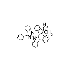 CC1(C)c2ccccc2-c2c1c1ncccc1c1c3ccccc3n(-c3nc(-c4ccccc4)c4ccccc4n3)c21